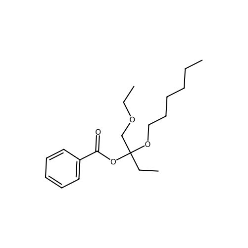 CCCCCCOC(CC)(COCC)OC(=O)c1ccccc1